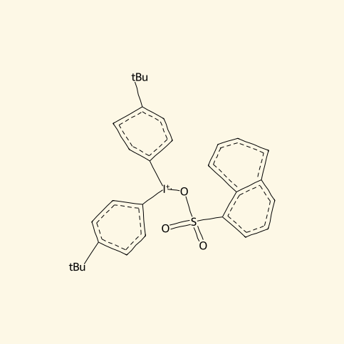 CC(C)(C)c1ccc([I+](OS(=O)(=O)c2cccc3ccccc23)c2ccc(C(C)(C)C)cc2)cc1